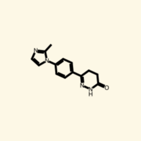 Cc1nccn1-c1ccc(C2=NNC(=O)CC2)cc1